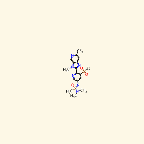 CCS(=O)(=O)c1cc(N=S(C)(=O)N(C)C)cnc1-c1nc2cc(C(F)(F)F)ncc2n1C